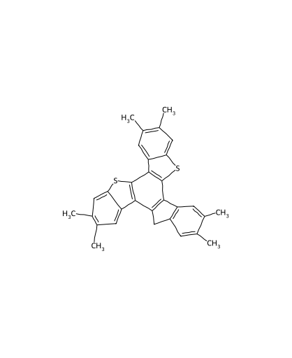 Cc1cc2c(cc1C)-c1c(c3c4cc(C)c(C)cc4sc3c3c1sc1cc(C)c(C)cc13)C2